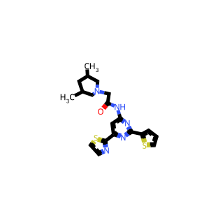 CC1CC(C)CN(CC(=O)Nc2cc(-c3nccs3)nc(-c3cccs3)n2)C1